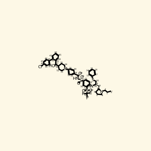 [CH2]CCN1CCC[C@H]1C[C@H](CSc1ccccc1)Nc1ccc(S(=O)(=O)NC(=O)c2ccc(N3CCC([C@@H](O)c4ccccc4-c4ccc(Cl)cc4)CC3)cc2)cc1S(=O)(=O)C(F)(F)F